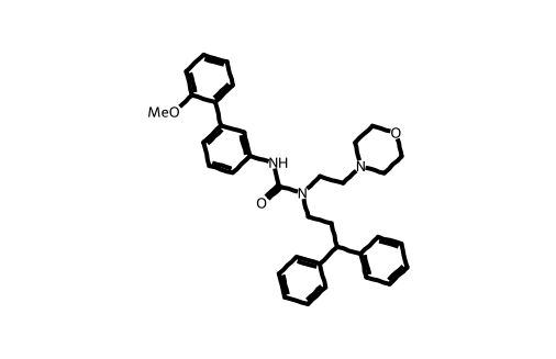 COc1ccccc1-c1cccc(NC(=O)N(CCC(c2ccccc2)c2ccccc2)CCN2CCOCC2)c1